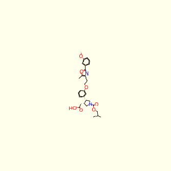 COc1cccc(-c2nc(CCOc3cccc([C@@H]4CN(C(=O)OCC(C)C)C[C@@H]4CC(=O)O)c3)c(C)o2)c1